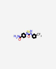 NC(=O)c1ccc(N(S)C(=O)Nc2cccc(C(F)(F)F)c2)cc1